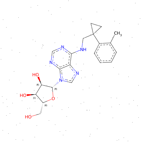 Cc1ccccc1C1(CNc2ncnc3c2ncn3[C@@H]2O[C@H](CO)[C@@H](O)[C@H]2O)CC1